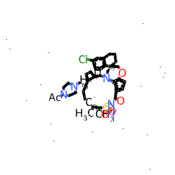 CC(=O)N1CCN(C[C@H]2CCC[C@H](C)[C@@H](C)S(=O)(=O)NC(=O)c3ccc4c(c3)N(C[C@@H]3CC[C@@H]23)C[C@@]2(CCCc3cc(Cl)ccc32)CO4)CC1